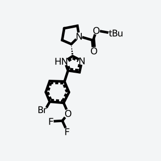 CC(C)(C)OC(=O)N1CCC[C@H]1c1ncc(-c2ccc(Br)c(OC(F)F)c2)[nH]1